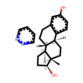 C[C@]12CC[C@@H]3c4ccc(O)cc4CC[C@H]3[C@@H]1CC[C@@H]2O.c1ccnnc1